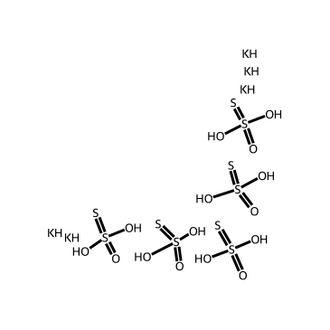 O=S(O)(O)=S.O=S(O)(O)=S.O=S(O)(O)=S.O=S(O)(O)=S.O=S(O)(O)=S.[KH].[KH].[KH].[KH].[KH]